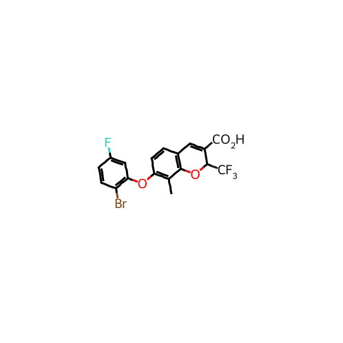 Cc1c(Oc2cc(F)ccc2Br)ccc2c1OC(C(F)(F)F)C(C(=O)O)=C2